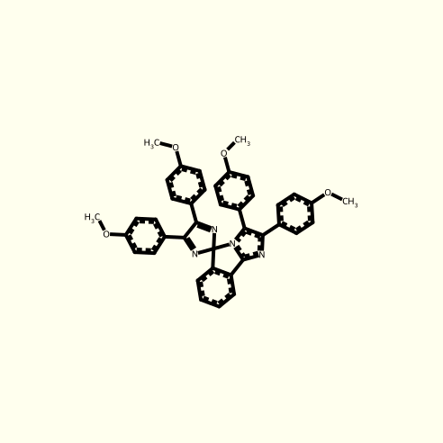 COc1ccc(C2=NC3(N=C2c2ccc(OC)cc2)c2ccccc2-c2nc(-c4ccc(OC)cc4)c(-c4ccc(OC)cc4)n23)cc1